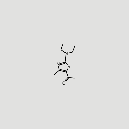 CCN(CC)c1nc(C)c(C(C)=O)s1